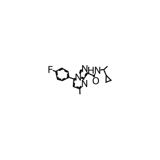 Cc1cc(-c2ccc(F)cc2)n2cnc(C(=O)NC(C)C3CC3)c2n1